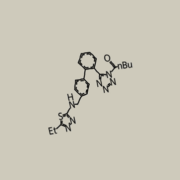 CCCCC(=O)n1nnnc1-c1ccccc1-c1ccc(CNc2nnc(CC)s2)cc1